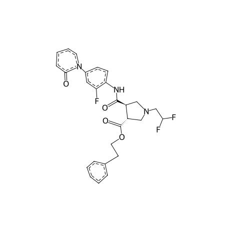 O=C(Nc1ccc(-n2ccccc2=O)cc1F)[C@H]1CN(CC(F)F)C[C@@H]1C(=O)OCCc1ccccc1